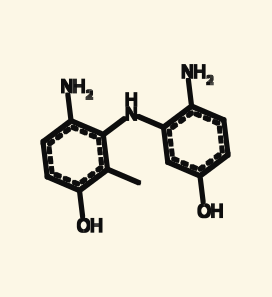 Cc1c(O)ccc(N)c1Nc1cc(O)ccc1N